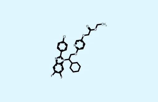 CCOC(=O)COc1ccc(OCC(C2CCCCC2)n2c(-c3ccc(Cl)cc3)nc3cc(F)c(F)cc32)nc1